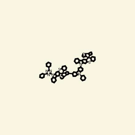 c1ccc(-c2nc(-c3ccccc3)nc(-n3c4ccccc4c4cc5c(cc43)Sc3ccccc3C53c4ccccc4-c4cc(-c5ccc6c(c5)c5cc(-n7c8ccccc8c8cc9c(cc87)Sc7ccccc7C97c8ccccc8-c8ccccc87)ccc5n6-c5ccccc5)ccc43)n2)cc1